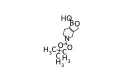 CC(C)(C)OC(=O)N1CCC2=C(COB2O)C1